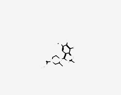 CC1CN(C(=O)OC(C)(C)C)CCN1c1nc(F)nc2c(F)c(Br)c(SC(F)(F)F)cc12